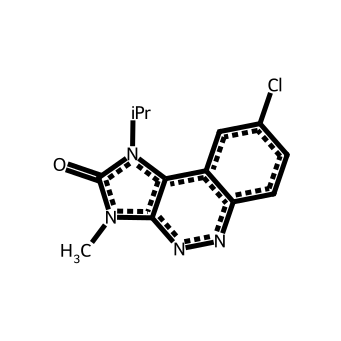 CC(C)n1c(=O)n(C)c2nnc3ccc(Cl)cc3c21